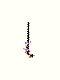 CCCCCCCCC=CCCCCCCCC(=O)NCCCC(CNC(=O)C(O)C(C)(C)COC(=O)C(C)(C)C)C(=O)O